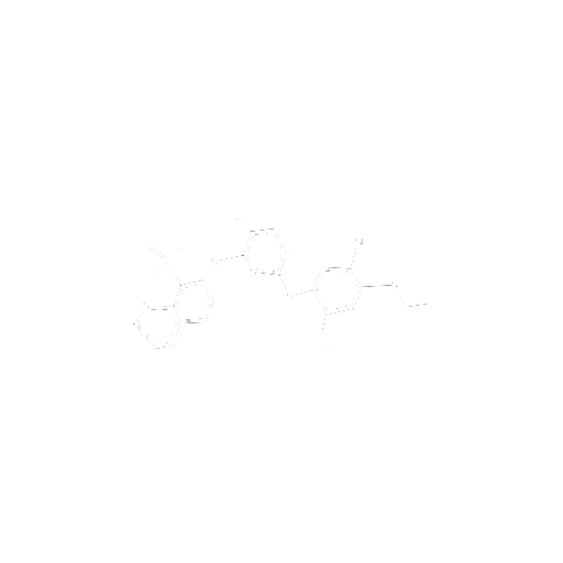 CCNc1cc(OC)c(Nc2ncc(Cl)c(Nc3ccc4nccnc4c3P(C)(C)=O)n2)cc1N